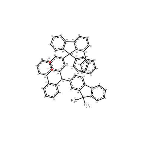 CC1(C)c2ccccc2-c2ccc(N(c3ccccc3-c3ccccc3)c3cccc4c3-c3ccccc3C43c4ccccc4-c4cccc(-c5ccccc5)c43)cc21